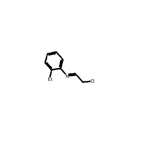 CCc1ccccc1N=CCCl